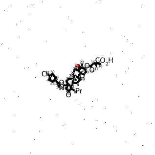 CC(C)C1=C2C3CC[C@@H]4[C@@]5(C)CC[C@H](OC(=O)CC(C)(C)C(=O)O)C(C)(C)[C@@H]5CC[C@@]4(C)[C@]3(C)CCC2(c2ncc(-c3ccc(Cl)cc3)o2)CC1=O